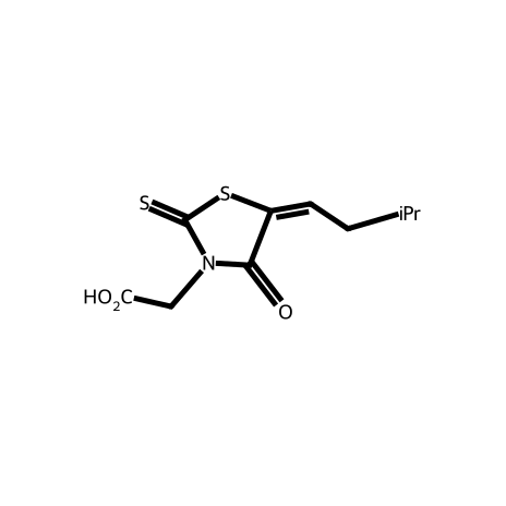 CC(C)CC=C1SC(=S)N(CC(=O)O)C1=O